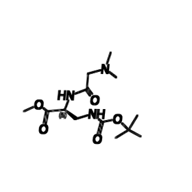 COC(=O)[C@H](CNC(=O)OC(C)(C)C)NC(=O)CN(C)C